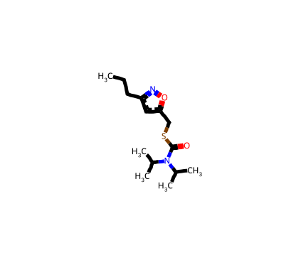 CCCc1cc(CSC(=O)N(C(C)C)C(C)C)on1